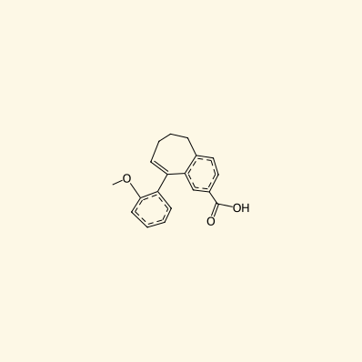 COc1ccccc1C1=CCCCc2ccc(C(=O)O)cc21